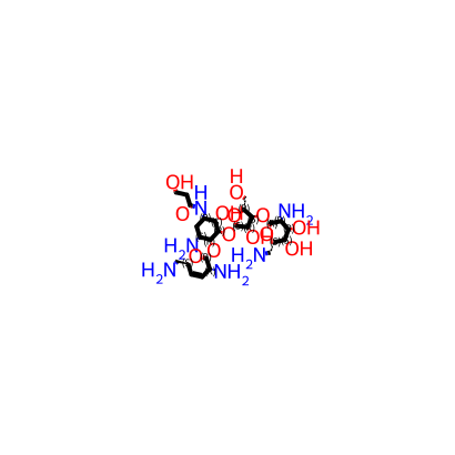 NC[C@@H]1O[C@H](O[C@H]2[C@@H](O)[C@H](O[C@@H]3[C@@H](O)[C@H](NC(=O)CCO)C[C@H](N)[C@H]3O[C@H]3O[C@H](CN)C=C[C@H]3N)O[C@@H]2CO)[C@H](N)[C@@H](O)[C@@H]1O